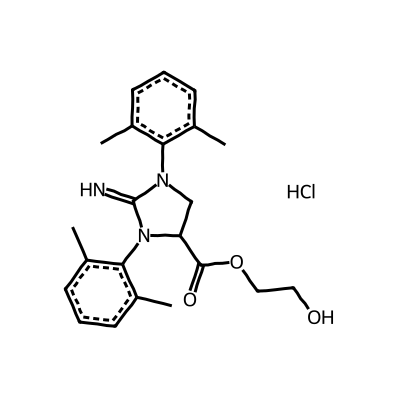 Cc1cccc(C)c1N1CC(C(=O)OCCO)N(c2c(C)cccc2C)C1=N.Cl